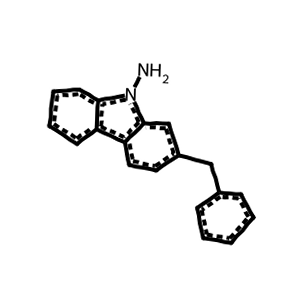 Nn1c2ccccc2c2ccc(Cc3ccccc3)cc21